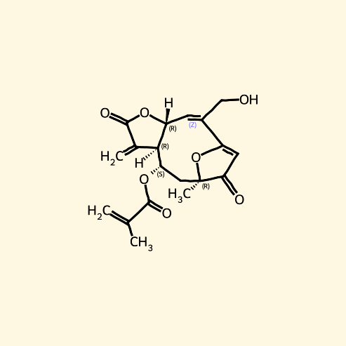 C=C(C)C(=O)O[C@H]1C[C@@]2(C)OC(=CC2=O)/C(CO)=C\[C@H]2OC(=O)C(=C)[C@H]12